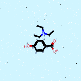 CCN(CC)CC.O=C(O)c1ccc(O)cc1